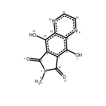 CN1C(=O)c2c(c(O)c3nccnc3c2O)C1=O